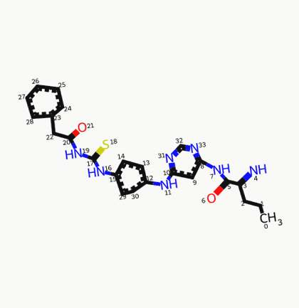 CCCC(=N)C(=O)Nc1cc(Nc2ccc(NC(=S)NC(=O)Cc3ccccc3)cc2)ncn1